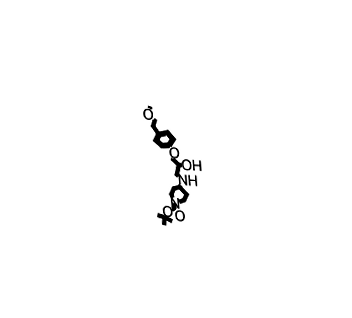 COCCc1ccc(OCC(O)CNC2CCN(C(=O)OC(C)(C)C)CC2)cc1